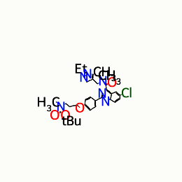 CCn1ncc(CN(C)C(=O)c2nc(-c3ccc(OCCCN(C)C(=O)OC(C)(C)C)cc3)nc3ccc(Cl)cc23)c1C